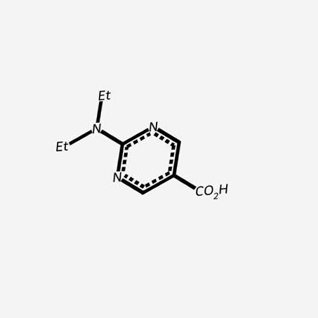 CCN(CC)c1ncc(C(=O)O)cn1